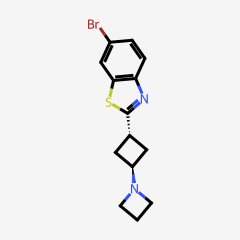 Brc1ccc2nc([C@H]3C[C@H](N4CCC4)C3)sc2c1